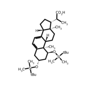 CC(C(=O)O)[C@H]1CC[C@H]2C3=CC=C4C[C@@H](O[Si](C)(C)C(C)(C)C)C[C@H](O[Si](C)(C)C(C)(C)C)[C@]4(C)[C@H]3CC[C@]12C